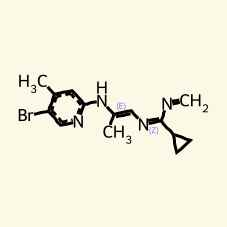 C=N/C(=N\C=C(/C)Nc1cc(C)c(Br)cn1)C1CC1